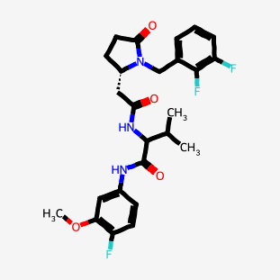 COc1cc(NC(=O)C(NC(=O)C[C@@H]2CCC(=O)N2Cc2cccc(F)c2F)C(C)C)ccc1F